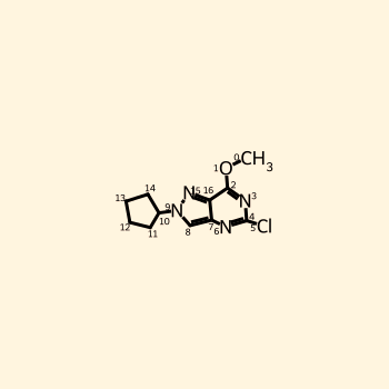 COc1nc(Cl)nc2cn(C3CCCC3)nc12